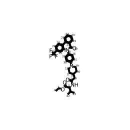 CCOC(=O)[C@H](NC(=O)CC1CCN(c2ccc(NC(=O)c3ccccc3-c3ccc(C(F)(F)F)cc3)cc2)CC1)C(C)C